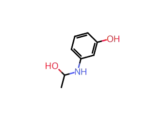 CC(O)Nc1cccc(O)c1